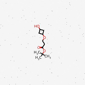 CC(C)(C)OC(=O)CCOC1CC(O)C1